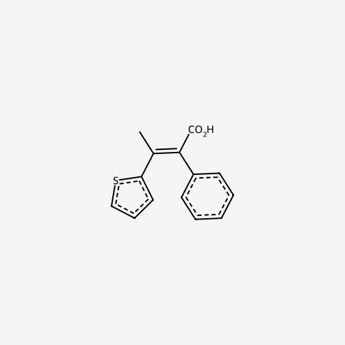 CC(=C(C(=O)O)c1ccccc1)c1cccs1